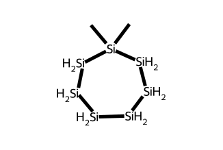 C[Si]1(C)[SiH2][SiH2][SiH2][SiH2][SiH2][SiH2]1